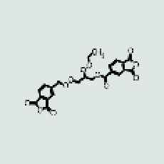 CCOOC(COOCc1ccc2c(c1)C(=O)OC2=O)COC(=O)c1ccc2c(c1)C(=O)OC2=O